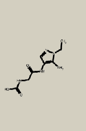 CCn1ncc(NC(=O)CNC(=O)O)c1N